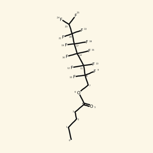 CCCCC(=O)OCC(F)(F)C(F)(F)C(F)(F)C(F)(F)C(F)(F)C(F)F